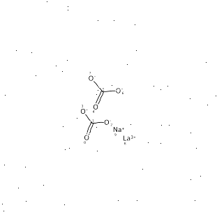 O=C([O-])[O-].O=C([O-])[O-].[La+3].[Na+]